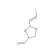 C=CC1COC(C=CC)O1